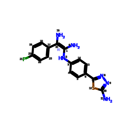 N/C(Nc1ccc(-c2nnc(N)s2)cc1)=C(\N)c1ccc(F)cc1